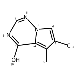 Cc1c(Cl)cn2ncnc(O)c12